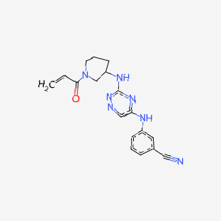 C=CC(=O)N1CCCC(Nc2nncc(Nc3cccc(C#N)c3)n2)C1